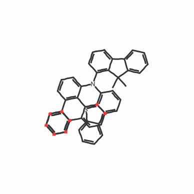 CC1(C)c2ccccc2-c2cccc(N(c3cccc(-c4ccccc4)c3-c3ccccc3-c3ccccc3)c3cccc4c3sc3ccccc34)c21